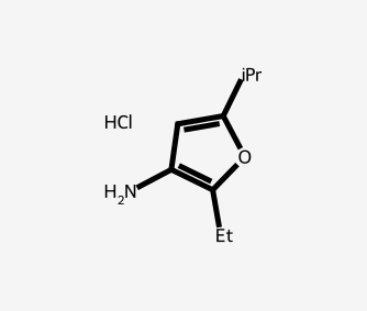 CCc1oc(C(C)C)cc1N.Cl